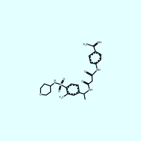 CC(NC(=O)CC(=O)Nc1ccc(C(=N)N)cc1)c1ccc(S(=O)(=O)NC2CCOCC2)c(C(F)(F)F)c1